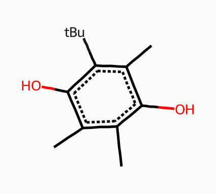 Cc1c(C)c(O)c(C(C)(C)C)c(C)c1O